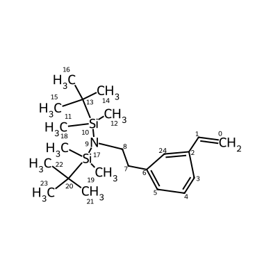 C=Cc1cccc(CCN([Si](C)(C)C(C)(C)C)[Si](C)(C)C(C)(C)C)c1